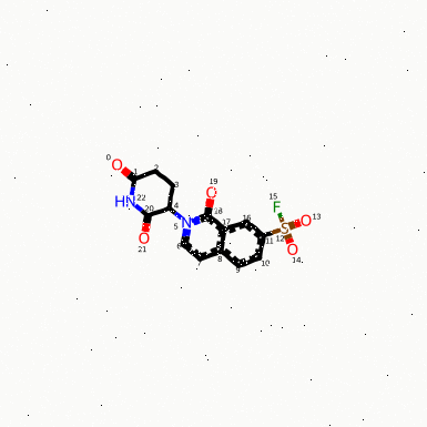 O=C1CCC(n2ccc3ccc(S(=O)(=O)F)cc3c2=O)C(=O)N1